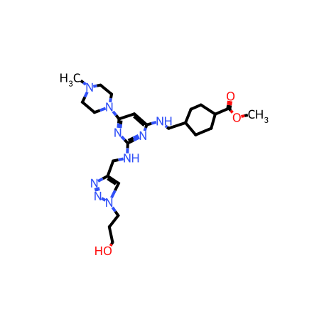 COC(=O)C1CCC(CNc2cc(N3CCN(C)CC3)nc(NCc3cn(CCCO)nn3)n2)CC1